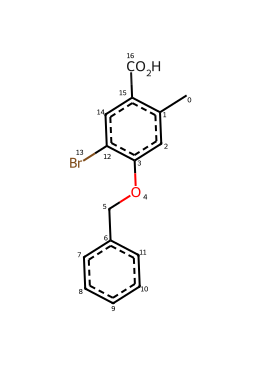 Cc1cc(OCc2ccccc2)c(Br)cc1C(=O)O